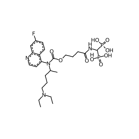 CCN(CC)CCCC(C)N(C(=O)OCCCC(=O)NC(P(=O)(O)O)P(=O)(O)O)c1ccnc2cc(F)ccc12